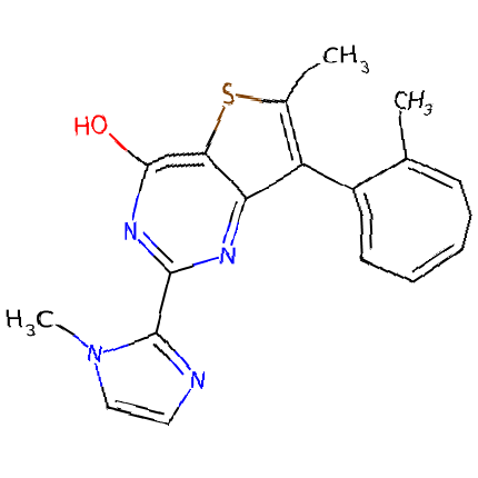 Cc1ccccc1-c1c(C)sc2c(O)nc(-c3nccn3C)nc12